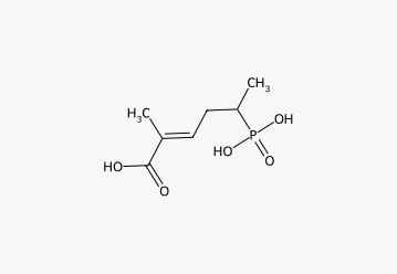 C/C(=C\CC(C)P(=O)(O)O)C(=O)O